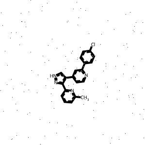 Cc1cccc(-c2n[nH]cc2-c2ccnc(-c3ccc(Cl)cc3)c2)n1